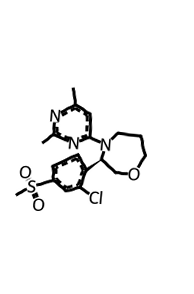 Cc1cc(N2CCCOC[C@H]2c2ccc(S(C)(=O)=O)cc2Cl)nc(C)n1